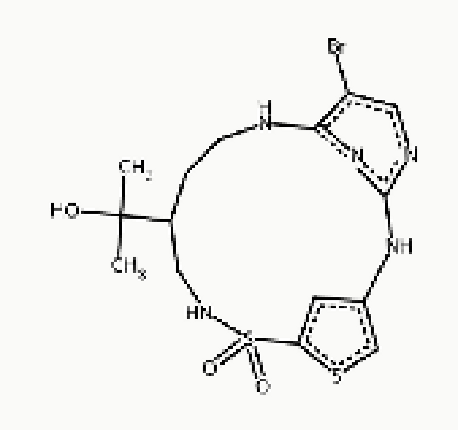 CC(C)(O)C1CCNc2nc(ncc2Br)Nc2csc(c2)S(=O)(=O)NC1